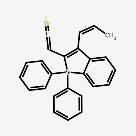 C/C=C\C1=C(C=C=S)[Si](c2ccccc2)(c2ccccc2)c2ccccc21